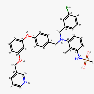 Cc1c(NS(C)(=O)=O)cccc1N(Cc1ccc(Oc2cccc(OCc3cccnc3)c2)cc1)Cc1cccc(F)c1